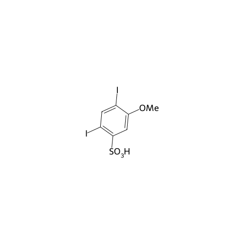 COc1cc(S(=O)(=O)O)c(I)cc1I